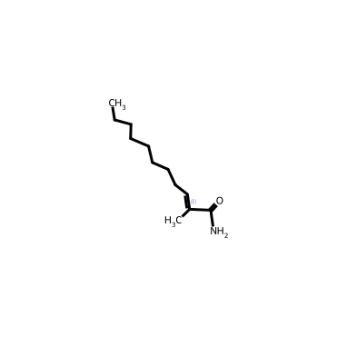 CCCCCCCC/C=C(\C)C(N)=O